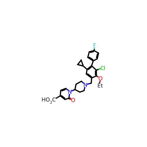 CCOc1c(CN2CCC(n3ccc(C(=O)O)cc3=O)CC2)cc(C2CC2)c(-c2ccc(F)cc2)c1Cl